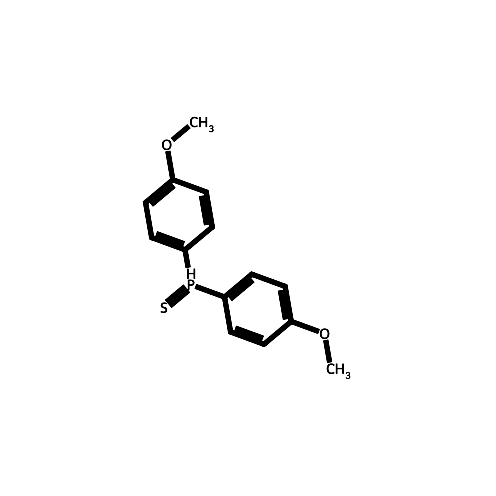 COc1ccc([PH](=S)c2ccc(OC)cc2)cc1